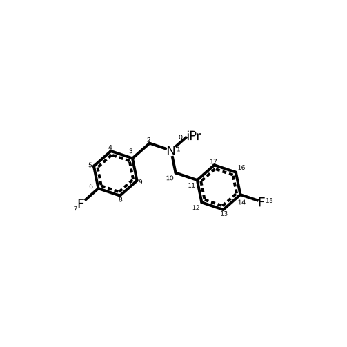 CC(C)N(Cc1ccc(F)cc1)Cc1ccc(F)cc1